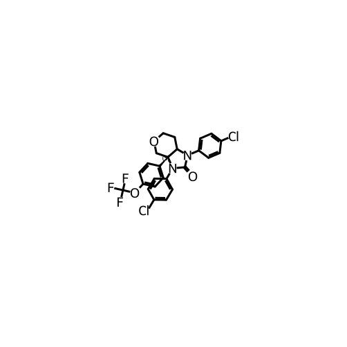 O=C1N(c2ccc(Cl)cc2)C2CCOC[C@@]2(c2ccc(OC(F)(F)F)cc2)N1c1ccc(Cl)cc1